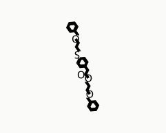 O=C(Cc1ccc(SCCCOCc2ccccc2)cc1)OCCCOCc1ccccc1